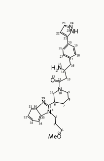 COCCCn1c(C2CCCN(C(=O)CC(N)Cc3ccc(-c4ccn[nH]4)cc3)C2)nc2ccccc21